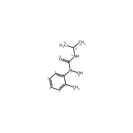 Cc1ccccc1N(O)C(=O)NC(C)C